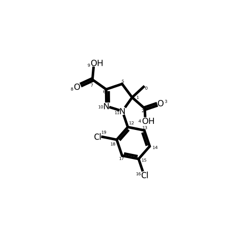 CC1(C(=O)O)CC(C(=O)O)=NN1c1ccc(Cl)cc1Cl